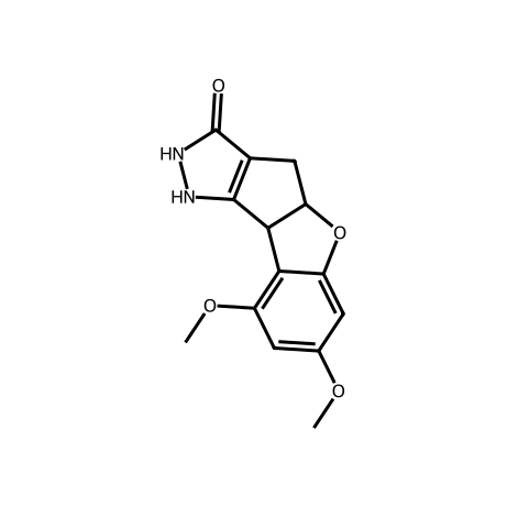 COc1cc(OC)c2c(c1)OC1Cc3c([nH][nH]c3=O)C21